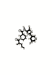 CCCC(C)C(=O)N1CCCC(C(=O)N(C)c2sc(-c3cncc(F)c3)nc2C)C1